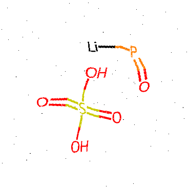 O=S(=O)(O)O.[Li][P]=O